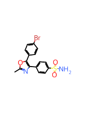 Cc1nc(-c2ccc(S(N)(=O)=O)cc2)c(-c2ccc(Br)cc2)o1